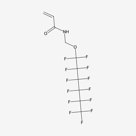 C=CC(=O)NCOC(F)(F)C(F)(F)C(F)(F)C(F)(F)C(F)(F)C(F)(F)F